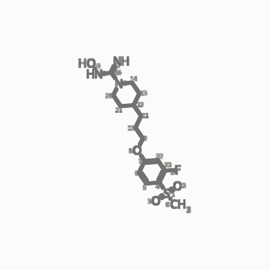 CS(=O)(=O)c1ccc(OCCCC2CCN(C(=N)NO)CC2)cc1F